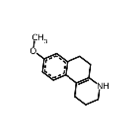 COc1ccc2c(c1)CCC1=C2CCCN1